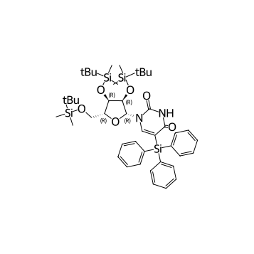 CC(C)(C)[Si](C)(C)OC[C@H]1O[C@@H](n2cc([Si](c3ccccc3)(c3ccccc3)c3ccccc3)c(=O)[nH]c2=O)[C@H](O[Si](C)(C)C(C)(C)C)[C@@H]1O[Si](C)(C)C(C)(C)C